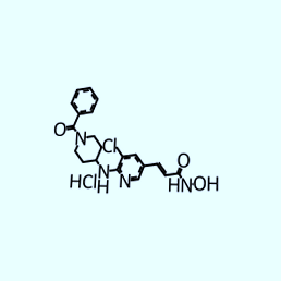 Cl.O=C(C=Cc1cnc(NC2CCN(C(=O)c3ccccc3)CC2)c(Cl)c1)NO